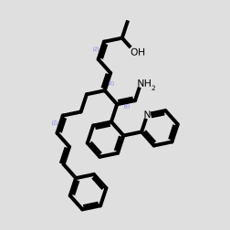 CC(O)\C=C/C=C(CC/C=C\C=Cc1ccccc1)/C(=C\N)c1ccccc1-c1ccccn1